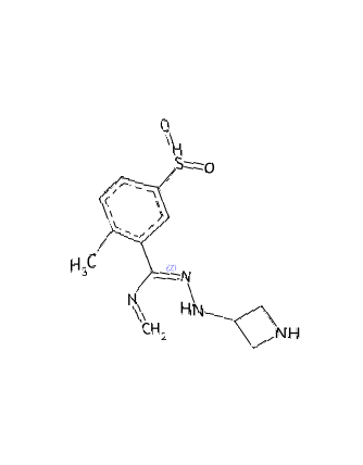 C=N/C(=N\NC1CNC1)c1cc([SH](=O)=O)ccc1C